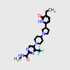 CCc1ccc(C2CCN(C3CCN(c4cnc(C(=O)NC)nc4C(F)(F)F)CC3)C2)[nH]c1=O